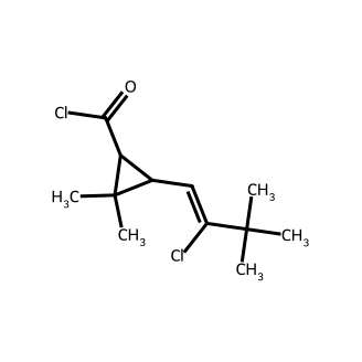 CC(C)(C)C(Cl)=CC1C(C(=O)Cl)C1(C)C